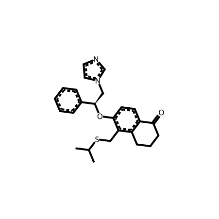 CC(C)SCc1c(O[C@H](Cn2ccnc2)c2ccccc2)ccc2c1CCCC2=O